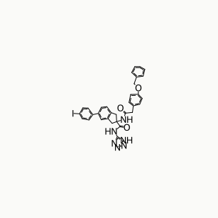 O=C(Cc1ccc(OCc2ccccc2)cc1)NC1(C(=O)Nc2nnn[nH]2)Cc2ccc(-c3ccc(I)cc3)cc2C1